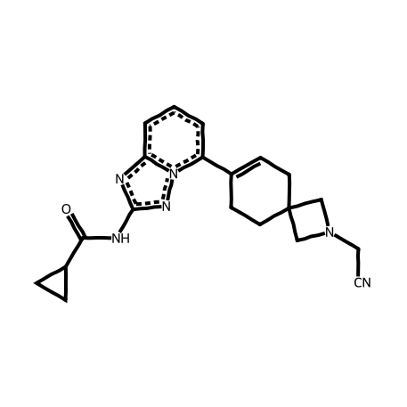 N#CCN1CC2(CC=C(c3cccc4nc(NC(=O)C5CC5)nn34)CC2)C1